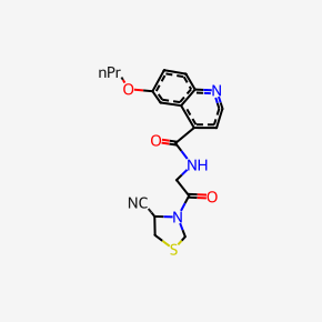 CCCOc1ccc2nccc(C(=O)NCC(=O)N3CSCC3C#N)c2c1